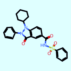 O=C(NS(=O)(=O)c1ccccc1)c1ccc2c(c1)c(=O)n(-c1ccccc1)n2C1CCCCC1